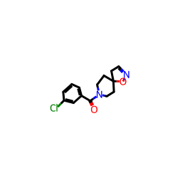 O=C(c1cccc(Cl)c1)N1CCC2(CC=NO2)CC1